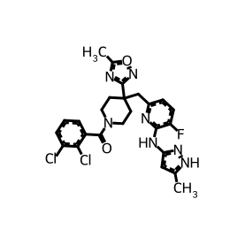 Cc1cc(Nc2nc(CC3(c4noc(C)n4)CCN(C(=O)c4cccc(Cl)c4Cl)CC3)ccc2F)n[nH]1